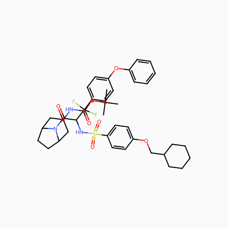 CC(C)(C)OC(=O)NC1CC2CCC(C1)N2C(=O)C(NS(=O)(=O)c1ccc(OCC2CCCCC2)cc1)C(F)(F)c1ccc(Oc2ccccc2)cc1